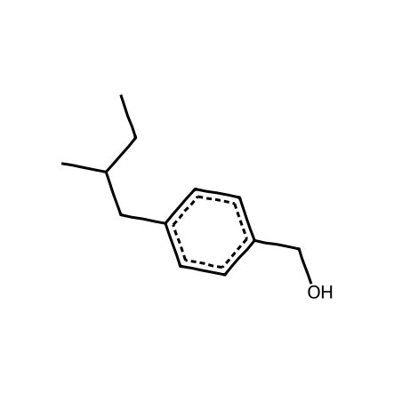 CCC(C)Cc1ccc(CO)cc1